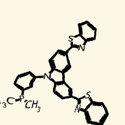 CP(C)c1cccc(-n2c3ccc(-c4nc5ccccc5s4)cc3c3cc(-c4nc5ccccc5s4)ccc32)c1